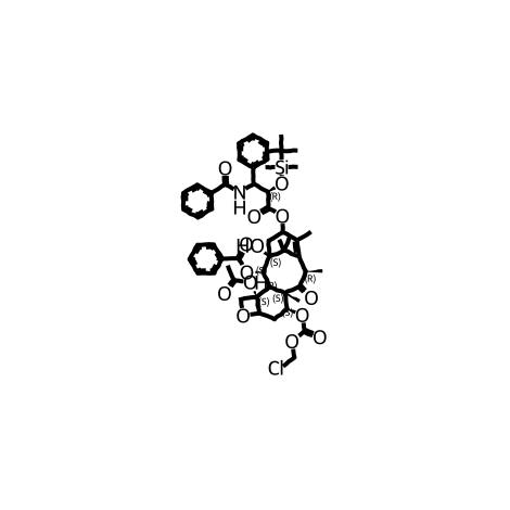 CC(=O)O[C@@]12COC1C[C@H](OC(=O)OCCl)[C@@]1(C)C(=O)[C@H](C)C3=C(C)C(OC(=O)[C@H](O[Si](C)(C)C(C)(C)C)C(NC(=O)c4ccccc4)c4ccccc4)C[C@@](O)([C@@H](OC(=O)c4ccccc4)[C@@H]12)C3(C)C